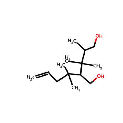 C=CCC(C)(C)C(CO)C(C)(C)C(C)CO